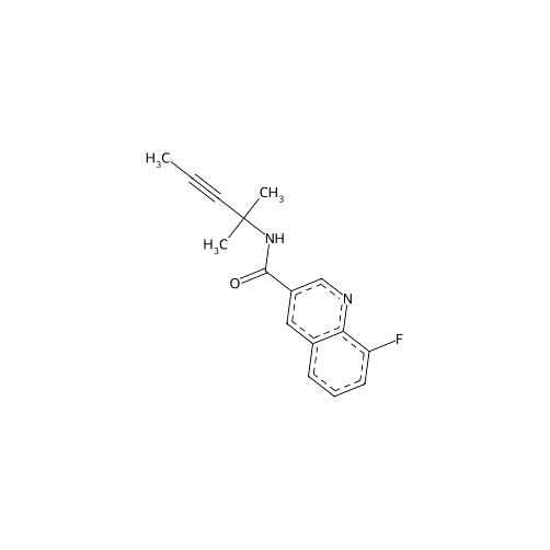 CC#CC(C)(C)NC(=O)c1cnc2c(F)cccc2c1